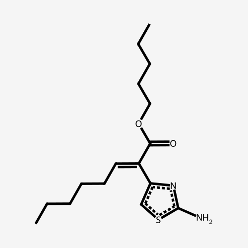 CCCCC/C=C(/C(=O)OCCCCC)c1csc(N)n1